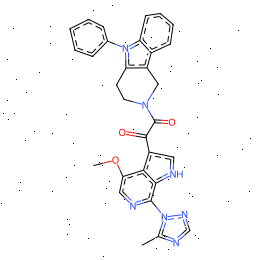 COc1cnc(-n2ncnc2C)c2[nH]cc(C(=O)C(=O)N3CCc4c(c5ccccc5n4-c4ccccc4)C3)c12